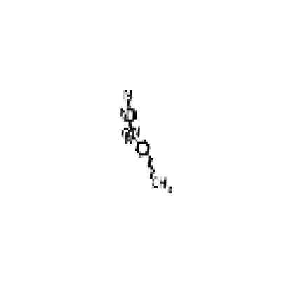 CCCCC[C@H]1CC[C@H](c2noc(-c3ccc(C#N)nc3)n2)CC1